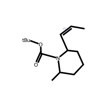 C/C=C\C1CCCC(C)N1C(=O)OC(C)(C)C